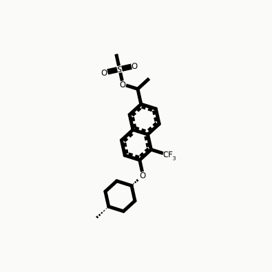 CC(OS(C)(=O)=O)c1ccc2c(C(F)(F)F)c(O[C@H]3CC[C@@H](C)CC3)ccc2c1